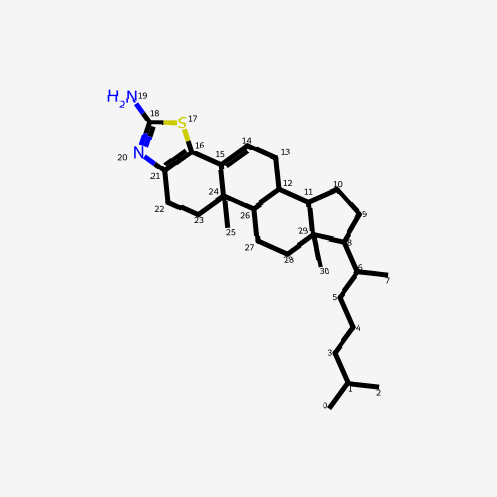 CC(C)CCCC(C)C1CCC2C3CC=C4c5sc(N)nc5CCC4(C)C3CCC12C